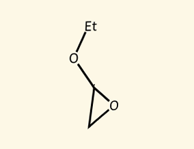 CCO[C]1CO1